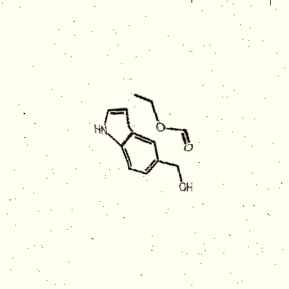 CCOC=O.OCc1ccc2[nH]ccc2c1